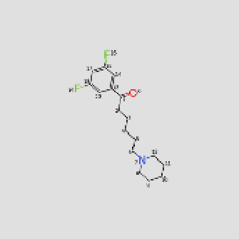 O=C(CCCCCN1CC[CH]CC1)c1cc(F)cc(F)c1